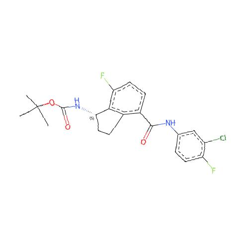 CC(C)(C)OC(=O)N[C@H]1CCc2c(C(=O)Nc3ccc(F)c(Cl)c3)ccc(F)c21